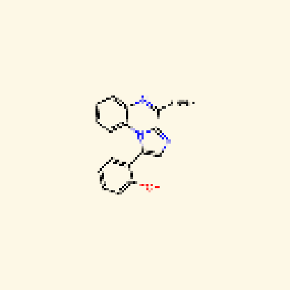 COc1nc2ccccc2n2c(-c3ccccc3O)cnc12